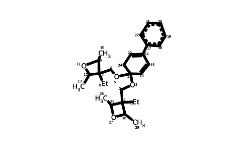 CCC1(COC2(OCC3(CC)C(C)OC3C)C=CC(c3ccccc3)=CC2)C(C)OC1C